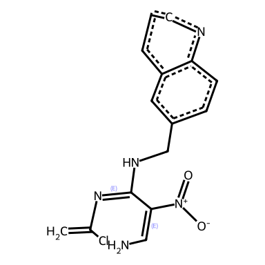 C=C(Cl)/N=C(NCc1ccc2ncccc2c1)\C(=C/N)[N+](=O)[O-]